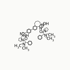 CCN(CC)[C@@H](C(=O)N1CCC[C@H]1c1ncc(-c2ccc(-c3ccc4c(c3)CCCCc3c-4nc([C@@H]4CCCN4C(=O)[C@@H](c4ccccc4)N(CC)CC)n3O)cc2)[nH]1)c1ccccc1